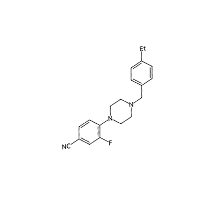 CCc1ccc(CN2CCN(c3ccc(C#N)cc3F)CC2)cc1